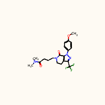 COc1ccc(-n2nc(C(F)(F)F)c3c2C(=O)N(CCCC(=O)N(C)C)CC3)cc1